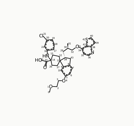 COCCOc1ccc2c(c1)C1(CCC(Nc3cccc(Cl)c3)(C(=O)O)CC1)[C@H](C[C@@H](C)COc1ccnc3ccsc13)C2